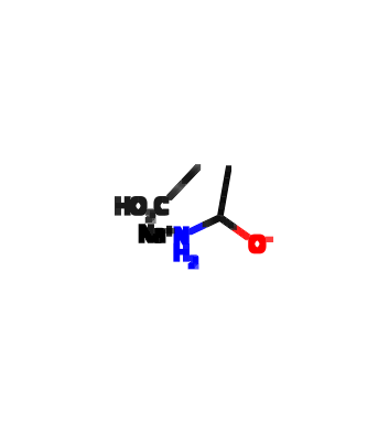 CC(=O)O.CC(N)[O-].[Na+]